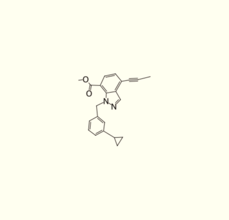 CC#Cc1ccc(C(=O)OC)c2c1cnn2Cc1cccc(C2CC2)c1